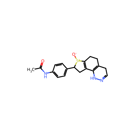 CC(=O)Nc1ccc(C2CC3=C(CCC4=C3NN=CC4)[S+]2[O-])cc1